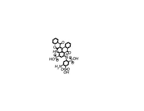 Nc1cc(Nc2cc(S(=O)(=O)O)c3[nH]c(=O)c(C(=O)c4ccccc4)c4c3c2C(=O)c2ccccc2-4)c(S(=O)(=O)O)cc1S(=O)(=O)O